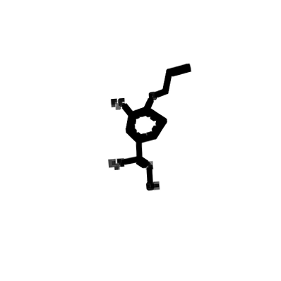 C=CCOc1ccc(/C(N)=N/O)cc1C(F)(F)F